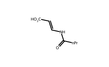 CCCC(=O)NC=CC(=O)O